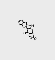 O=C1CC2=C(CO1)C(=O)C1=C(C2)NC2=Cc3ccccc3CN21